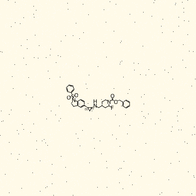 O=C(OCc1ccccc1)N1CCC(CN[C@@H]2C[C@H]2c2ccc3c(c2)CCN3S(=O)(=O)c2ccccc2)CC1F